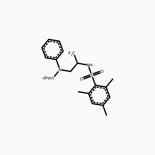 CCCCCN(CC(NS(=O)(=O)c1c(C)cc(C)cc1C)C(F)(F)F)c1ccccc1